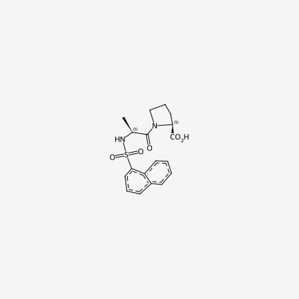 C[C@H](NS(=O)(=O)c1cccc2ccccc12)C(=O)N1CCC[C@H]1C(=O)O